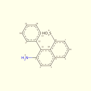 Nc1ccc2cccc(S(=O)(=O)O)c2c1-c1ccccc1